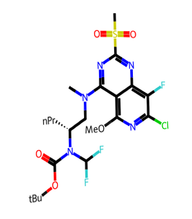 CCC[C@H](CN(C)c1nc(S(C)(=O)=O)nc2c(F)c(Cl)nc(OC)c12)N(C(=O)OC(C)(C)C)C(F)F